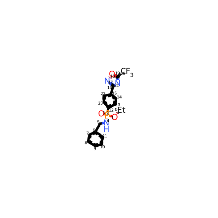 CCOP(=O)(NCc1ccccc1)c1ccc(-c2noc(C(F)(F)F)n2)cc1